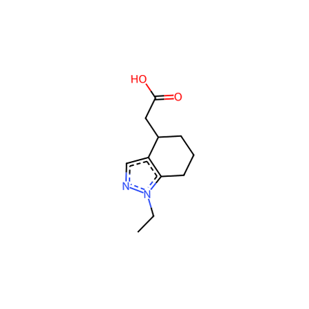 CCn1ncc2c1CCCC2CC(=O)O